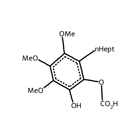 CCCCCCCc1c(OC(=O)O)c(O)c(OC)c(OC)c1OC